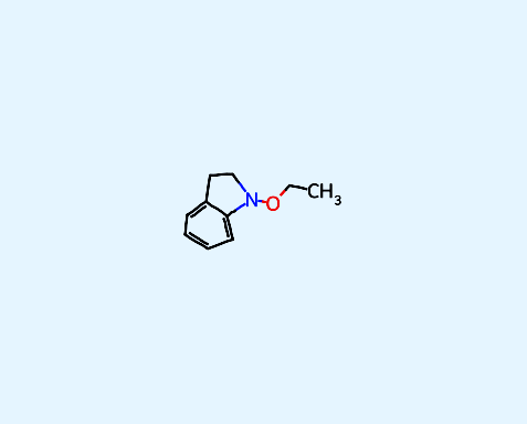 CCON1CCc2ccccc21